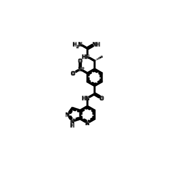 C[C@@H](NC(=N)N)c1ccc(C(=O)Nc2ccnc3[nH]ncc23)cc1[N+](=O)[O-]